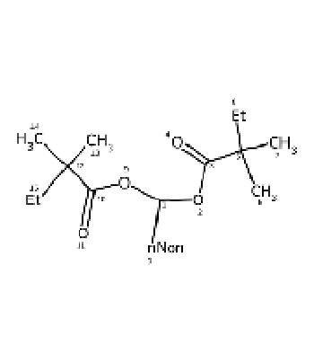 CCCCCCCCCC(OC(=O)C(C)(C)CC)OC(=O)C(C)(C)CC